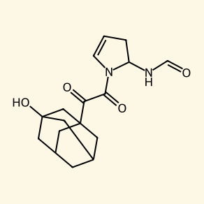 O=CNC1CC=CN1C(=O)C(=O)C12CC3CC(CC(O)(C3)C1)C2